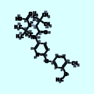 COc1cc(Oc2ccc(NC(=O)[C@H](N(C(=O)O)C(C)(C)C)C(C)(C)C)cn2)ccc1C